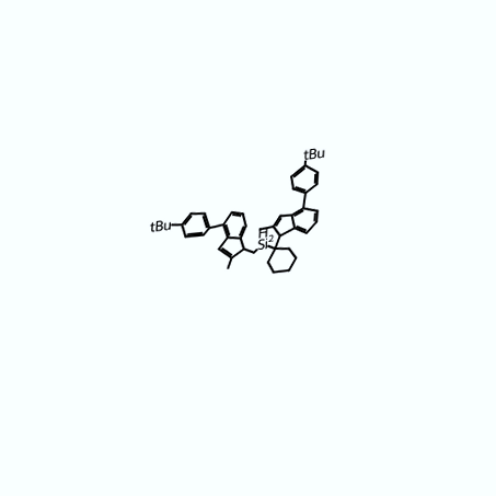 CC1=Cc2c(-c3ccc(C(C)(C)C)cc3)cccc2C1C[SiH2]C1(C2C(C)=Cc3c(-c4ccc(C(C)(C)C)cc4)cccc32)CCCCC1